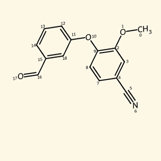 COc1cc(C#N)ccc1Oc1cccc(C=O)c1